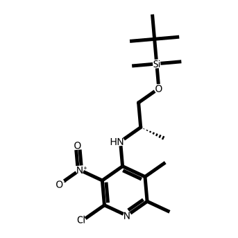 Cc1nc(Cl)c([N+](=O)[O-])c(N[C@@H](C)CO[Si](C)(C)C(C)(C)C)c1C